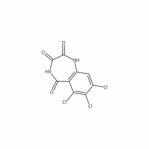 O=c1[nH]c(=O)c2c(Cl)c(Cl)c(Cl)cc2[nH]c1=O